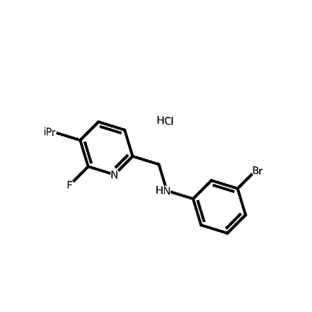 CC(C)c1ccc(CNc2cccc(Br)c2)nc1F.Cl